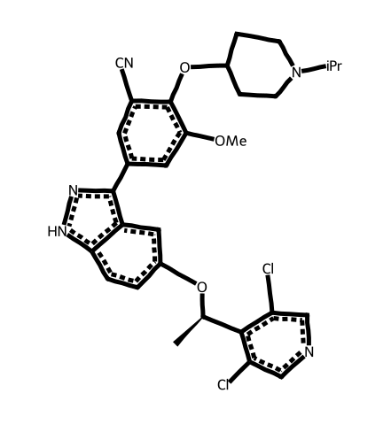 COc1cc(-c2n[nH]c3ccc(O[C@H](C)c4c(Cl)cncc4Cl)cc23)cc(C#N)c1OC1CCN(C(C)C)CC1